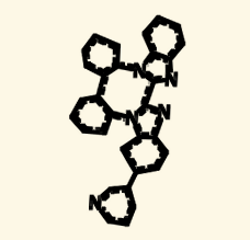 c1cncc(-c2ccc3nc4c5nc6ccccc6n5c5ccccc5c5ccccc5n4c3c2)c1